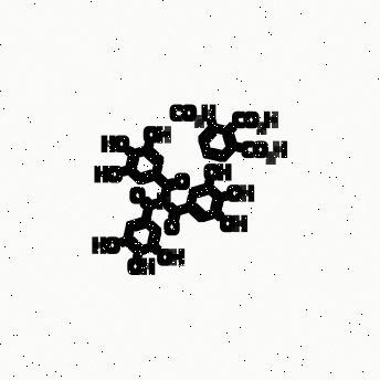 O=C(O)c1cccc(C(=O)O)c1C(=O)O.O=C(c1cc(O)c(O)c(O)c1)N(C(=O)c1cc(O)c(O)c(O)c1)C(=O)c1cc(O)c(O)c(O)c1